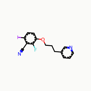 N#Cc1c(I)ccc(OCCCc2cccnc2)c1F